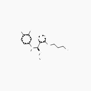 Bc1cc(N(C)/C(=N\OC=O)c2nonc2OCCCN)ccc1F